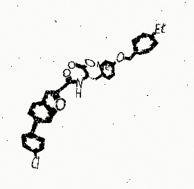 CCc1ccc(COc2ccc(C[C@H](NC(=O)c3cc4ccc(-c5ccc(Cl)cc5)cc4o3)C(=O)OC)cc2)cc1